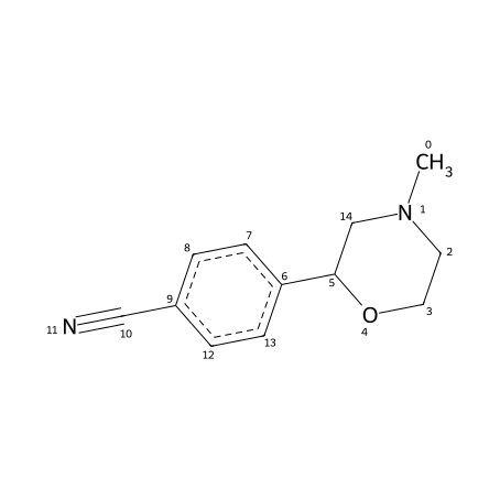 CN1CCOC(c2ccc(C#N)cc2)C1